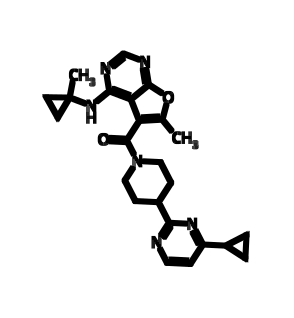 Cc1oc2ncnc(NC3(C)CC3)c2c1C(=O)N1CCC(c2nccc(C3CC3)n2)CC1